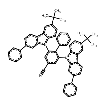 CC(C)(C)c1ccc2c(c1)c1ccc(-c3ccccc3)cc1n2-c1cc(C#N)cc(-n2c3ccc(C(C)(C)C)cc3c3ccc(-c4ccccc4)cc32)c1-c1ccccc1